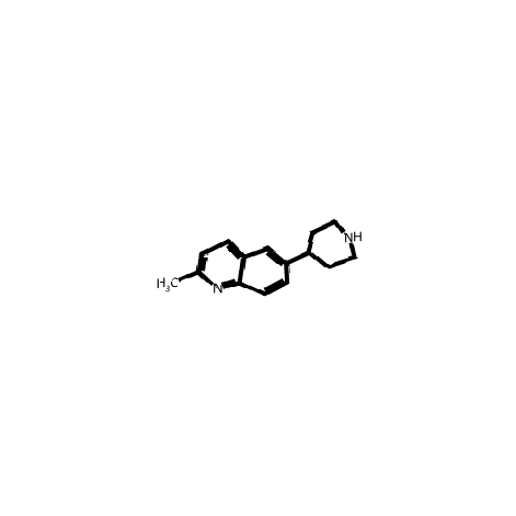 Cc1ccc2cc(C3CCNCC3)ccc2n1